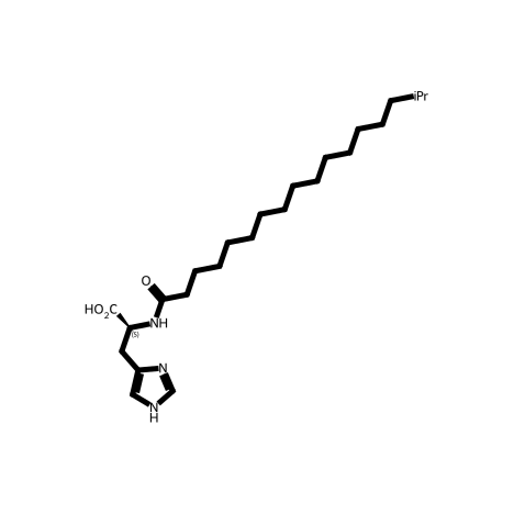 CC(C)CCCCCCCCCCCCCCC(=O)N[C@@H](Cc1c[nH]cn1)C(=O)O